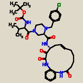 CC(C)[C@@H](NC(=O)OC(C)(C)C)C(=O)N1CCN(Cc2ccc(Cl)cc2)[C@@H](C(=O)N[C@@H]2C/C=C/CCCCC(=O)Nc3ccccc3NC(=O)C2=O)C1